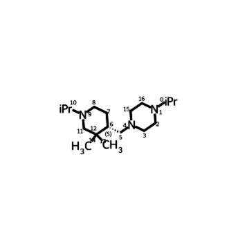 CC(C)N1CCN(C[C@H]2CCN(C(C)C)CC2(C)C)CC1